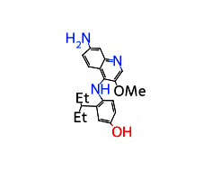 CCC(CC)c1cc(O)ccc1Nc1c(OC)cnc2cc(N)ccc12